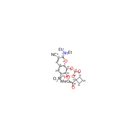 CCN(CC)C(=O)C(C#N)=Cc1cc(OC(=O)OC2(C(=O)OC)CCC2)c(O)c([N+](=O)[O-])c1